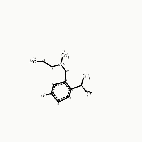 CC(C)[C@H](C)c1ccc(F)cc1CN(C)CCO